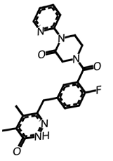 Cc1c(Cc2ccc(F)c(C(=O)N3CCN(c4ccccn4)C(=O)C3)c2)n[nH]c(=O)c1C